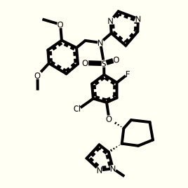 COc1ccc(CN(c2ccncn2)S(=O)(=O)c2cc(Cl)c(O[C@@H]3CCCC[C@@H]3c3ccnn3C)cc2F)c(OC)c1